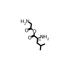 CC(C)C[C@H](N)C(=O)OC(=O)CN